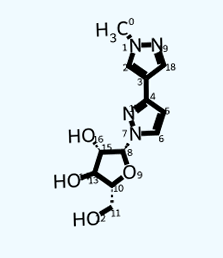 Cn1cc(-c2ccn([C@@H]3O[C@H](CO)C(O)[C@@H]3O)n2)cn1